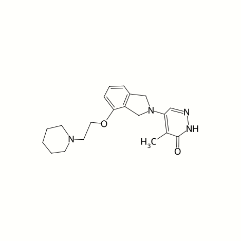 Cc1c(N2Cc3cccc(OCCN4CCCCC4)c3C2)cn[nH]c1=O